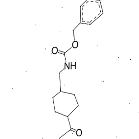 CC(=O)C1CCC(CNC(=O)OCc2ccccc2)CC1